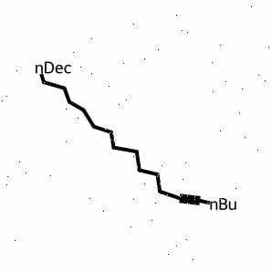 [CH2]CCCC#CCCCCCCCCCCCCCCCCCCCC[CH2]